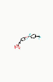 O=C(O)/C=C/c1ccc(OC(F)(F)C2CCC(C(F)(F)F)CC2)cc1